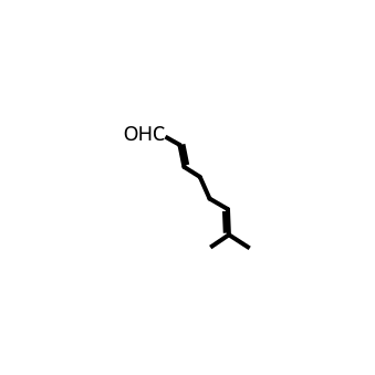 CC(C)=CCC/C=C/C=O